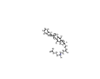 CC(=CC=C[C@@]1(C)CCc2c(C)c(OC(=O)NCc3ccccc3)c(C)c(C)c2O1)CC/C=C(\C)CCCC(C)C